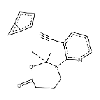 C#Cc1cccnc1N1CCCC(=O)OC1(C)C.c1cc2cc-2c1